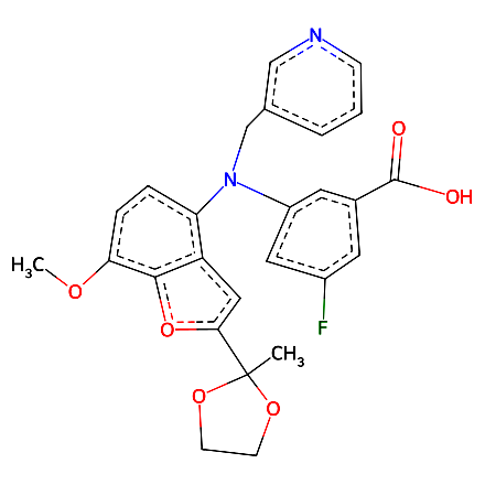 COc1ccc(N(Cc2cccnc2)c2cc(F)cc(C(=O)O)c2)c2cc(C3(C)OCCO3)oc12